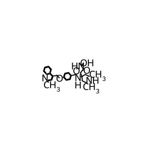 Cc1cc(COc2ccc(C(=O)NC3(CC(=O)NO)CC(C)NC(C)C3)cc2)c2ccccc2n1